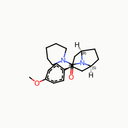 COc1ccc([C@H]2C[C@H]3CC[C@@H](C2)N3C(=O)N2CCCCC2)cc1